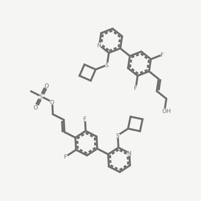 CS(=O)(=O)OC/C=C/c1c(F)cc(-c2cccnc2SC2CCC2)cc1F.OC/C=C/c1c(F)cc(-c2cccnc2SC2CCC2)cc1F